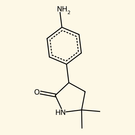 CC1(C)CC(c2ccc(N)cc2)C(=O)N1